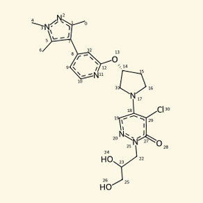 Cc1nn(C)c(C)c1-c1ccnc(O[C@@H]2CCN(c3cnn(CC(O)CO)c(=O)c3Cl)C2)c1